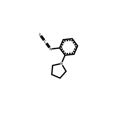 S=C=Nc1ccccc1N1CCCC1